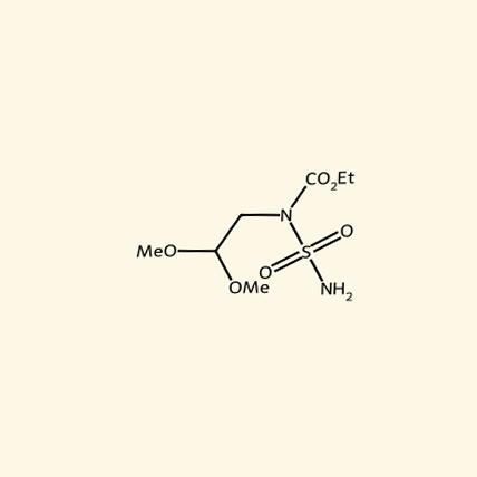 CCOC(=O)N(CC(OC)OC)S(N)(=O)=O